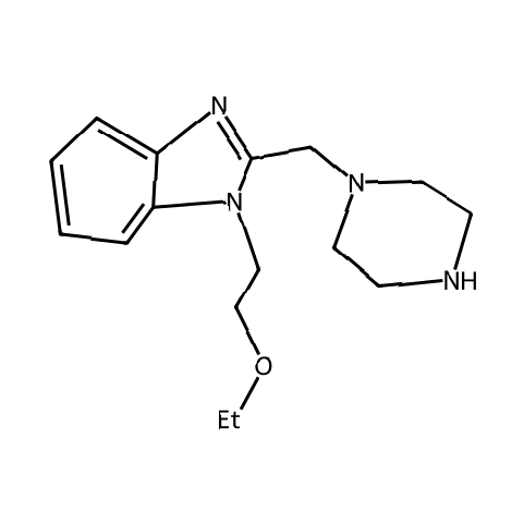 CCOCCn1c(CN2CCNCC2)nc2ccccc21